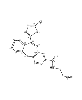 COCCNC(=O)c1ccc2c(c1)N=C(c1ccc(Cl)s1)c1ccccc1S2